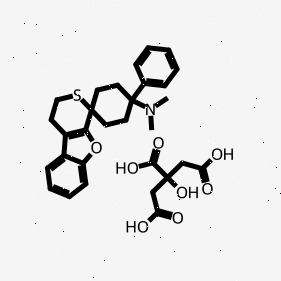 CN(C)C1(c2ccccc2)CCC2(CC1)SCCc1c2oc2ccccc12.O=C(O)CC(O)(CC(=O)O)C(=O)O